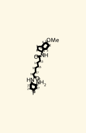 COc1ccc2c(c1)CCC2NC(=O)CCCCCCC(=O)Nc1ccc(F)cc1N